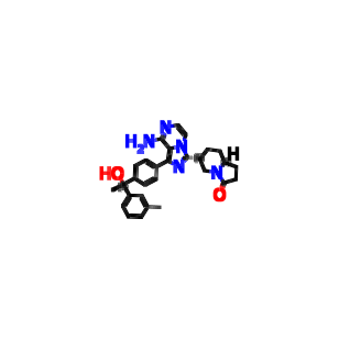 Cc1cccc([C@](C)(O)c2ccc(-c3nc([C@@H]4CC[C@H]5CCC(=O)N5C4)n4ccnc(N)c34)cc2)c1